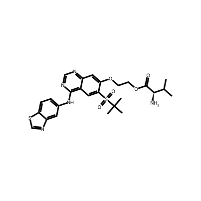 CC(C)[C@@H](N)C(=O)OCCOc1cc2ncnc(Nc3ccc4scnc4c3)c2cc1S(=O)(=O)C(C)(C)C